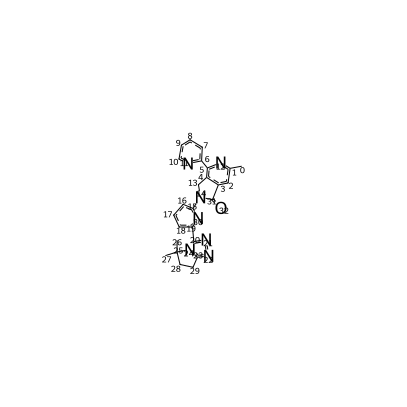 Cc1cc2c(c(-c3ccccn3)n1)CN(c1cccc(-c3nnc4n3C(C)(C)CC4)n1)C2=O